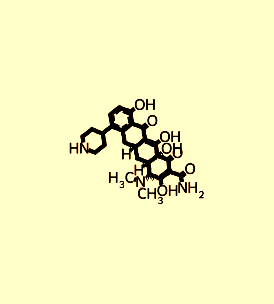 CN(C)[C@H]1C(O)=C(C(N)=O)C(=O)[C@@]2(O)C(O)=C3C(=O)c4c(O)ccc(C5CCNCC5)c4C[C@H]3C[C@@H]12